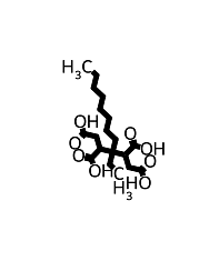 CCCCCCCCC(CC)(C(CC(=O)O)C(=O)O)C(CC(=O)O)C(=O)O